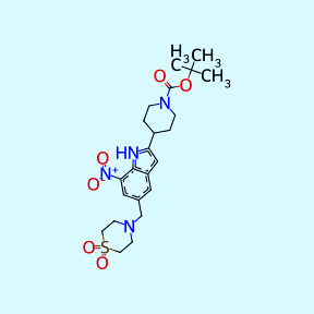 CC(C)(C)OC(=O)N1CCC(c2cc3cc(CN4CCS(=O)(=O)CC4)cc([N+](=O)[O-])c3[nH]2)CC1